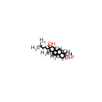 CC(C)CCCC1(CO)CC[C@]2(C)C(CCC3C4(C)CC[C@H](O)C(C)(C)C4CCC32C)C1C